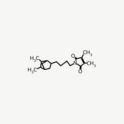 CC1=C(C)C(=O)N(CCCCC2CC3CC2C(C)C3C)C1=O